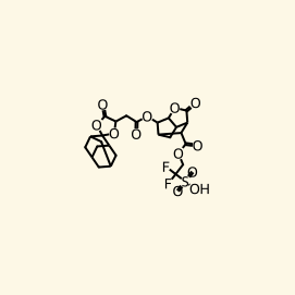 O=C(CC1OC2(OC1=O)C1CC3CC(C1)CC2C3)OC1C2CC3C1OC(=O)C3C2C(=O)OCC(F)(F)S(=O)(=O)O